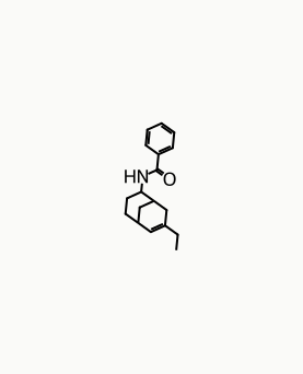 CCC1=CC2CCC(NC(=O)c3ccccc3)C(C1)C2